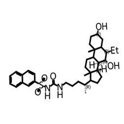 CC[C@@H]1C2C[C@H](O)CCC2(C)C2CCC3(C)C([C@H](C)CCCNC(=O)NS(=O)(=O)c4ccc5ccccc5c4)CC[C@H]3[C@@H]2[C@@H]1O